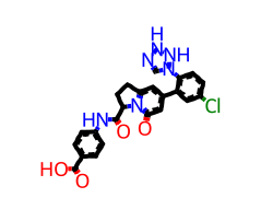 O=C(O)c1ccc(NC(=O)C2CCc3cc(-c4cc(Cl)ccc4N4C=NNN4)cc(=O)n32)cc1